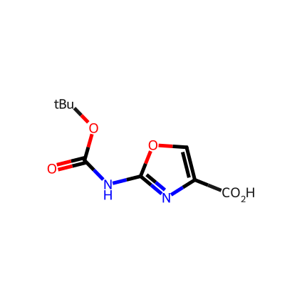 CC(C)(C)OC(=O)Nc1nc(C(=O)O)co1